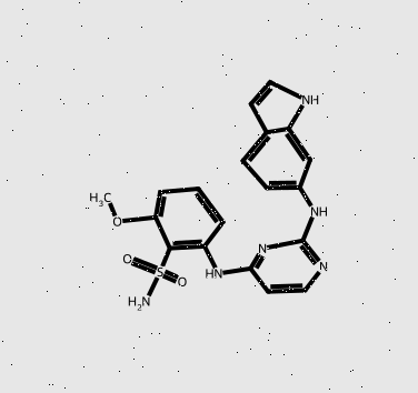 COc1cccc(Nc2ccnc(Nc3ccc4cc[nH]c4c3)n2)c1S(N)(=O)=O